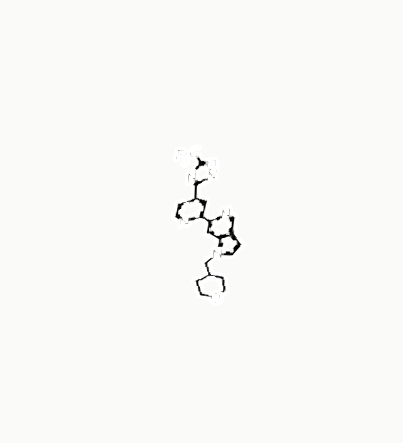 FC(F)(F)c1nc(-c2ccnc(-c3cc4c(ccn4CC4CCOCC4)cn3)c2)no1